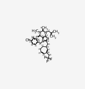 C=C(C)CN1C(=C)N(C)C(=C)c2c1nc(CC1C=C(CC(F)(F)F)C=CCC1)n2Cc1ccc(Cl)cc1